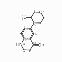 CC1COCC=C1c1ccc2c(c1)C(=O)CCN2